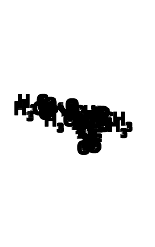 CC1(C)OC[C@@H](CCC(=O)C(C)(C)c2cc3cc([N+](=O)[O-])c(F)cc3n2C[C@@H]2COC(C)(C)O2)O1